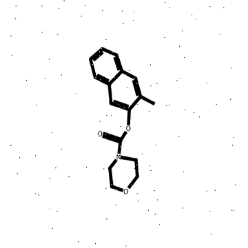 Cc1cc2ccccc2cc1OC(=O)N1CCOCC1